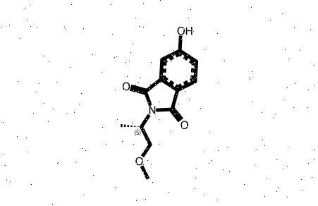 COC[C@H](C)N1C(=O)c2ccc(O)cc2C1=O